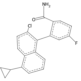 NC(=O)c1ccc(F)cc1-c1c(Cl)ccc2c(C3CC3)cccc12